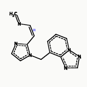 C=N/C=C\c1nccn1Cc1cccn2ncnc12